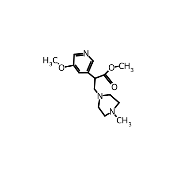 COC(=O)C(CN1CCN(C)CC1)c1cncc(OC)c1